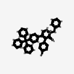 O=c1c(-c2ccc(F)cc2)c(-c2ccc(C(c3ccccc3)(c3ccccc3)c3ccccc3)cc2)cnn1Cc1ccccc1